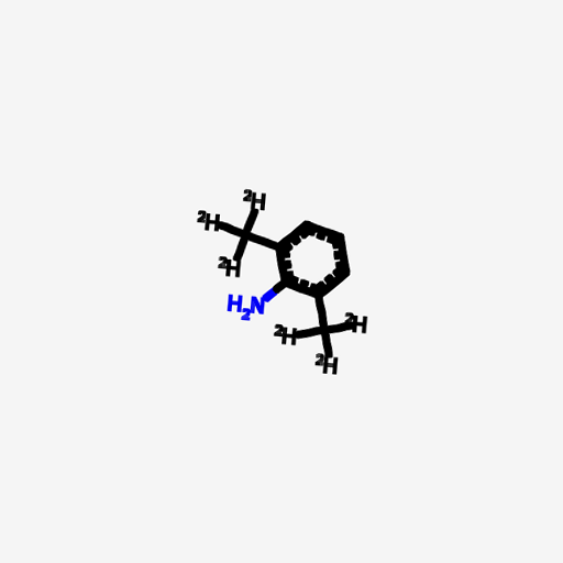 [2H]C([2H])([2H])c1cccc(C([2H])([2H])[2H])c1N